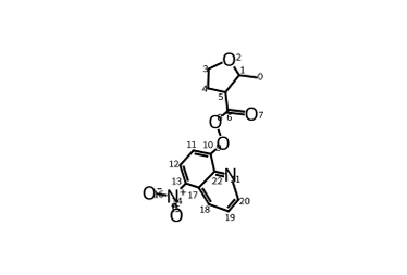 CC1OCCC1C(=O)OOc1ccc([N+](=O)[O-])c2cccnc12